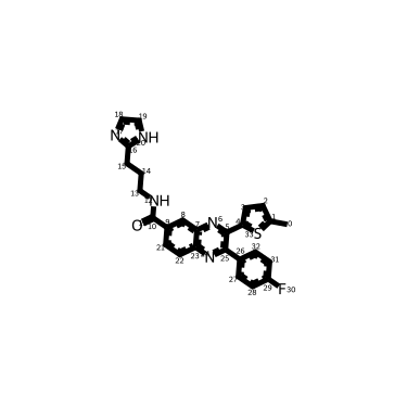 Cc1ccc(-c2nc3cc(C(=O)NCCCc4ncc[nH]4)ccc3nc2-c2ccc(F)cc2)s1